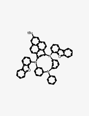 CC(C)(C)c1cc2ccc3c4cc(c5ccc(c1)c2c35)N(c1cccc2c1oc1ccccc12)c1cccc(c1)N(c1ccccc1)c1cccc(c1)N4c1cccc2c1oc1ccccc12